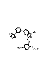 CCOC(=O)Cc1ccc(OC)cc1OCc1nn(C(C)C)c2ccc(-c3cccc(-c4nnc[nH]4)c3)cc12